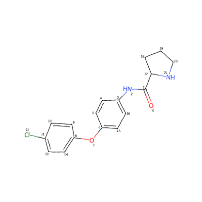 O=C(Nc1ccc(Oc2ccc(Cl)cc2)cc1)C1CCCN1